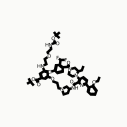 CCOc1ccccc1-c1ccc(N2CCN(C(=O)c3ccc(Cl)cc3C(F)F)CC2CC)c(C(=O)NC2CCN(CCCOc3cc(NCCOCCNC(=O)OC(C)(C)C)cc(C(=O)OC(C)(C)C)c3)C2)n1